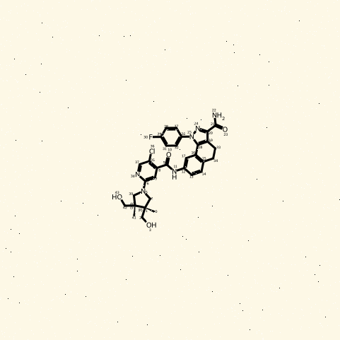 C[C@]1(CO)CN(c2cc(C(=O)Nc3ccc4c(c3)-c3c(c(C(N)=O)nn3-c3ccc(F)cc3)CC4)c(Cl)cn2)C[C@@]1(C)CO